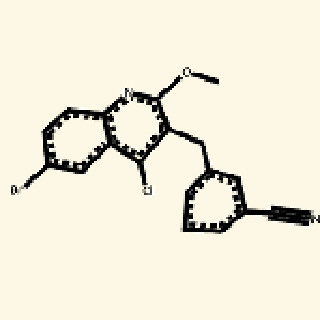 COc1nc2ccc(Br)cc2c(Cl)c1Cc1cccc(C#N)c1